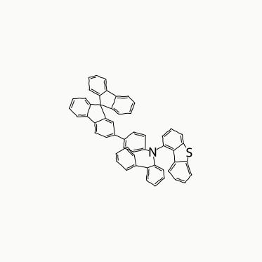 c1ccc(-c2ccccc2N(c2ccc(-c3ccc4c(c3)C3(c5ccccc5-c5ccccc53)c3ccccc3-4)cc2)c2cccc3sc4ccccc4c23)cc1